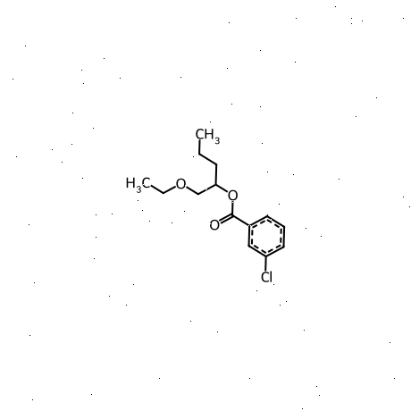 CCCC(COCC)OC(=O)c1cccc(Cl)c1